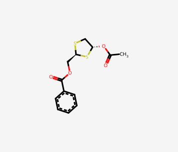 CC(=O)O[C@H]1CS[C@H](COC(=O)c2ccccc2)S1